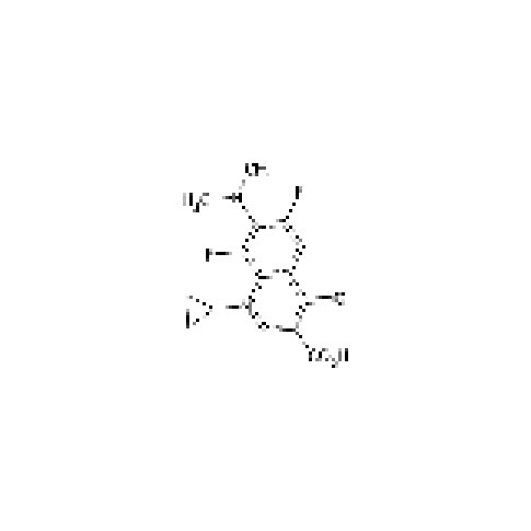 CN(C)c1c(F)cc2c(=O)c(C(=O)O)cn(C3CC3)c2c1F